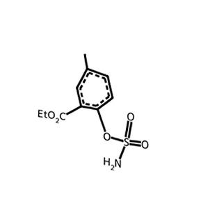 CCOC(=O)c1cc(C)ccc1OS(N)(=O)=O